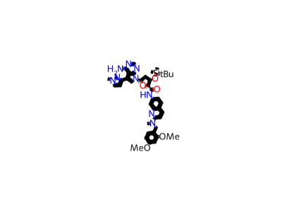 COc1ccc(CN(C)c2ccc3ccc(NC(=O)[C@H]4O[C@@H](n5cc(-c6ccn(C)n6)c6c(N)ncnc65)C[C@@H]4O[Si](C)(C)C(C)(C)C)cc3n2)c(OC)c1